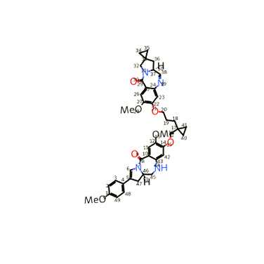 COc1ccc(C2=CN3C(=O)c4cc(OC)c(OCC5(CCCOc6cc7c(cc6OC)C(=O)N6CC8(CC8)C[C@H]6C=N7)CC5)cc4NC[C@@H]3C2)cc1